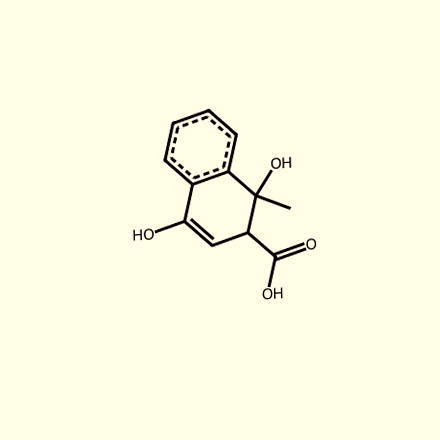 CC1(O)c2ccccc2C(O)=CC1C(=O)O